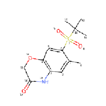 Cc1cc2c(cc1S(=O)(=O)C(C)(C)C)OCC(=O)N2